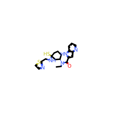 CCN(C(=O)c1cc2ncccc2[nH]1)[C@H]1CCCC(S)(NCc2nccs2)C1